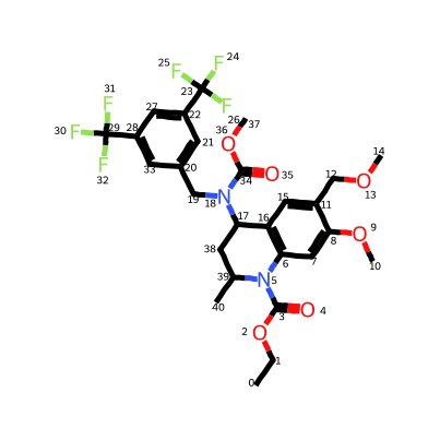 CCOC(=O)N1c2cc(OC)c(COC)cc2C(N(Cc2cc(C(F)(F)F)cc(C(F)(F)F)c2)C(=O)OC)CC1C